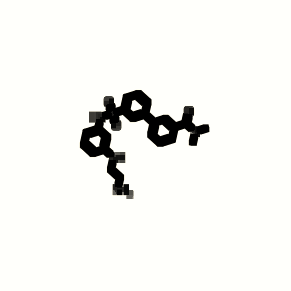 CN(C)C(=O)c1cccc(-c2cccc(S(=O)(=O)Nc3cccc(NCCN)c3)c2)c1